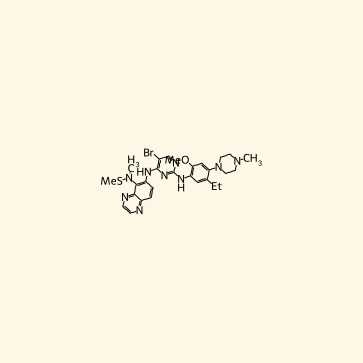 CCc1cc(Nc2ncc(Br)c(Nc3ccc4nccnc4c3N(C)SC)n2)c(OC)cc1N1CCN(C)CC1